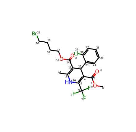 COC(=O)C1=C(C(F)(F)F)NC(C)=C(C(=O)OCCCCBr)C1c1ccccc1Cl